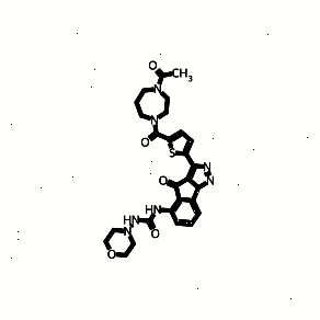 CC(=O)N1CCCN(C(=O)c2ccc(C3=C4C(=O)c5c(NC(=O)NN6CCOCC6)cccc5C4N=N3)s2)CC1